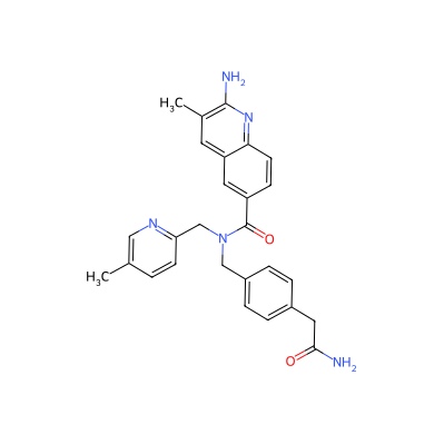 Cc1ccc(CN(Cc2ccc(CC(N)=O)cc2)C(=O)c2ccc3nc(N)c(C)cc3c2)nc1